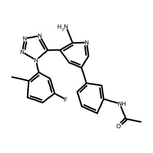 CC(=O)Nc1cccc(-c2cnc(N)c(-c3nnnn3-c3cc(F)ccc3C)c2)c1